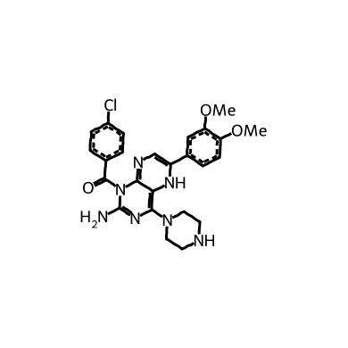 COc1ccc(C2=CN=C3C(=C(N4CCNCC4)N=C(N)N3C(=O)c3ccc(Cl)cc3)N2)cc1OC